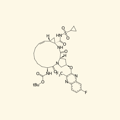 CC(C)(C)OC(=O)N[C@H]1CCCCC/C=C\[C@@H]2C[C@@]2(C(=O)NS(=O)(=O)C2CC2)NC(=O)[C@@H]2C[C@@H](Oc3nc4cc(F)ccc4nc3C(F)(F)F)CN2C1=O